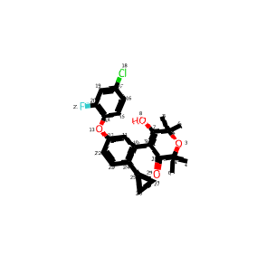 CC1(C)OC(C)(C)C(O)=C(c2cc(Oc3ccc(Cl)cc3F)ccc2C2CC2)C1=O